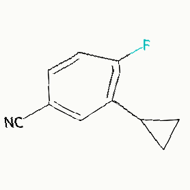 N#Cc1ccc(F)c(C2CC2)c1